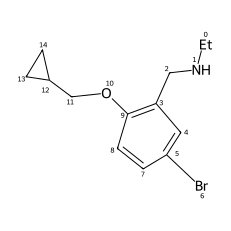 CCNCc1cc(Br)ccc1OCC1CC1